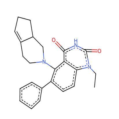 CCn1c(=O)[nH]c(=O)c2c(N3CCC4=CCCC4C3)c(-c3ccccc3)ccc21